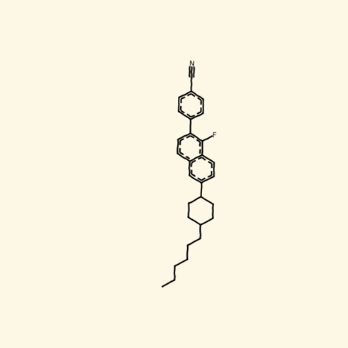 CCCCCCC1CCC(c2ccc3c(F)c(-c4ccc(C#N)cc4)ccc3c2)CC1